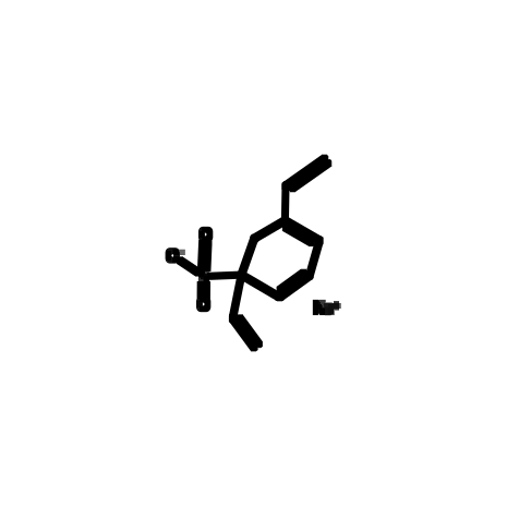 C=CC1=CC=CC(C=C)(S(=O)(=O)[O-])C1.[Na+]